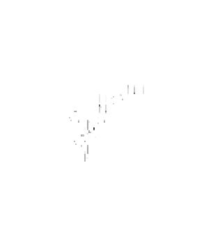 O=C(CC(NS(=O)(=O)c1cccc(C(F)(F)F)c1)c1ccc(F)cc1)NC1CCCc2cc(CNC3CCC3)ccc21